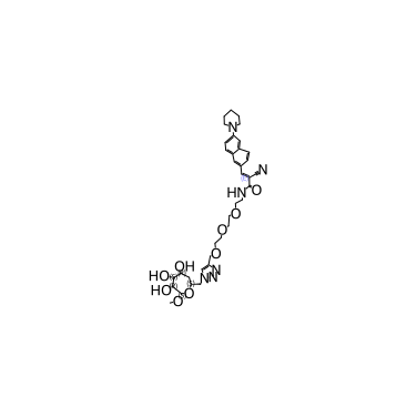 CO[C@H]1O[C@H](Cn2cc(COCCOCCOCCNC(=O)/C(C#N)=C/c3ccc4cc(N5CCCCC5)ccc4c3)nn2)C[C@@H](O)[C@H](O)[C@H]1O